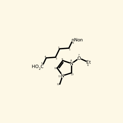 CCCCCCCCCCCCCC(=O)O.CCON1C=CN(C)C1